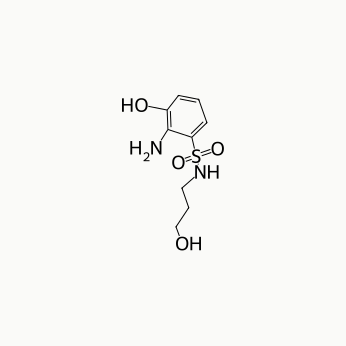 Nc1c(O)cccc1S(=O)(=O)NCCCO